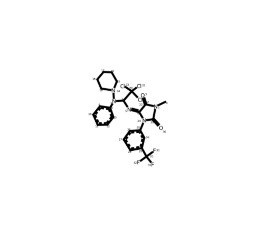 CN1C(=O)C(=NC(N(c2ccccc2)N2CCCCC2)C(Cl)(Cl)Cl)N(c2cccc(C(F)(F)F)c2)C1=O